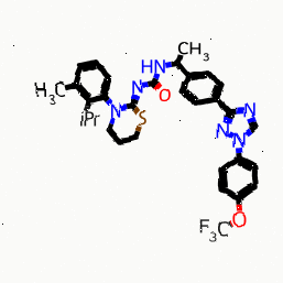 Cc1cccc(N2CCCS/C2=N\C(=O)NC(C)c2ccc(-c3ncn(-c4ccc(OC(F)(F)F)cc4)n3)cc2)c1C(C)C